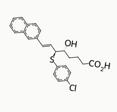 O=C(O)CCC[C@@H](O)[C@H](/C=C/c1ccc2ccccc2c1)Sc1ccc(Cl)cc1